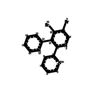 Brc1cnc(-c2ccccn2)c(-c2ccccn2)c1Br